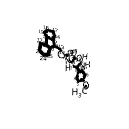 COc1ccc2c(C[C@H](NC(=O)OCC3c4ccccc4-c4ccccc43)C(=O)O)c[nH]c2c1